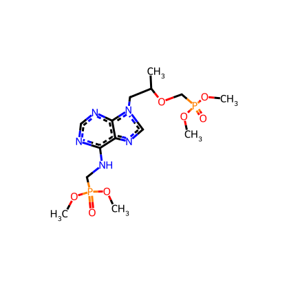 COP(=O)(CNc1ncnc2c1ncn2CC(C)OCP(=O)(OC)OC)OC